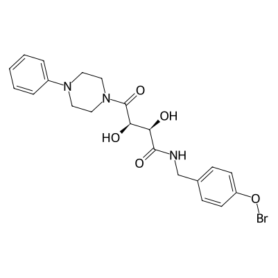 O=C(NCc1ccc(OBr)cc1)[C@H](O)[C@@H](O)C(=O)N1CCN(c2ccccc2)CC1